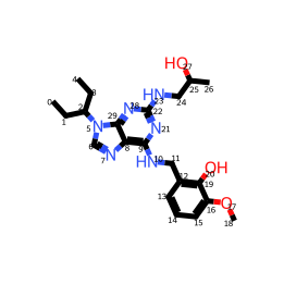 CCC(CC)n1cnc2c(NCc3cccc(OC)c3O)nc(NCC(C)O)nc21